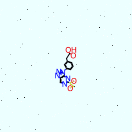 CS(=O)(=O)c1ncc2nnn(-c3cccc(CC(=O)O)c3)c2n1